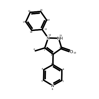 Cc1c(-c2ccncc2)c(=O)[nH]n1-c1ccccc1